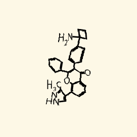 Cc1n[nH]cc1-c1cccc2c(=O)c(-c3ccc(C4(N)CCC4)cc3)c(-c3ccccc3)oc12